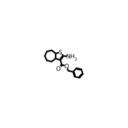 NC1=C(C(=O)OCc2ccccc2)C2CCCCCC2S1